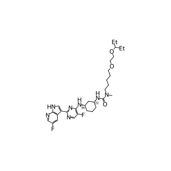 CCC(CC)OCCOCCCCCN(C)C(=O)N[C@H]1CCC[C@@H](Nc2nc(-c3c[nH]c4ncc(F)cc34)ncc2F)C1